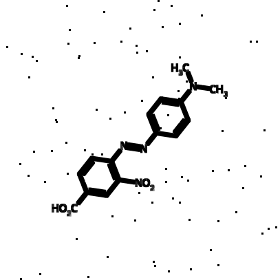 CN(C)c1ccc(N=Nc2ccc(C(=O)O)cc2[N+](=O)[O-])cc1